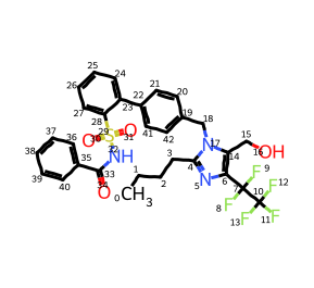 CCCCc1nc(C(F)(F)C(F)(F)F)c(CO)n1Cc1ccc(-c2ccccc2S(=O)(=O)NC(=O)c2ccccc2)cc1